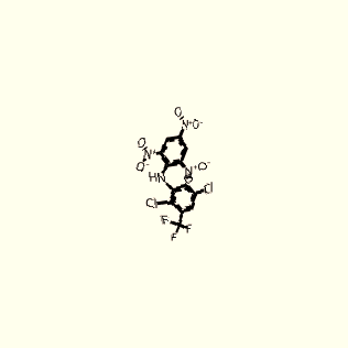 O=[N+]([O-])c1cc([N+](=O)[O-])c(Nc2cc(Cl)cc(C(F)(F)F)c2Cl)c([N+](=O)[O-])c1